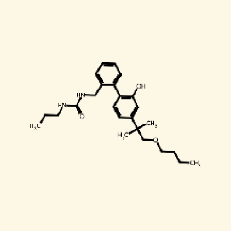 CCCCOCC(C)(C)c1ccc(-c2ccccc2CNC(=O)NCCC)c(O)c1